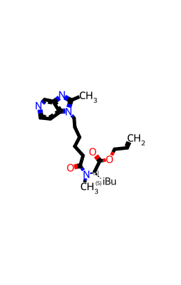 C=CCOC(=O)[C@H]([C@@H](C)CC)N(C)C(=O)CCCCCn1c(C)nc2cnccc21